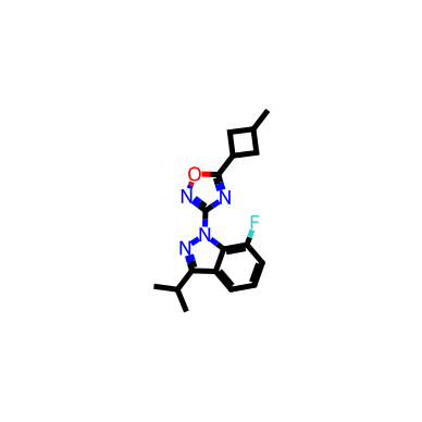 CC1CC(c2nc(-n3nc(C(C)C)c4cccc(F)c43)no2)C1